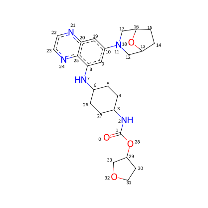 O=C(NC1CCC(Nc2cc(N3CC4CCC(C3)O4)cc3nccnc23)CC1)OC1CCOC1